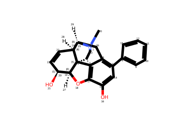 CN1CC[C@]23c4c5c(-c6ccccc6)cc(O)c4O[C@H]2[C@@H](O)C=C[C@H]3[C@H]1C5